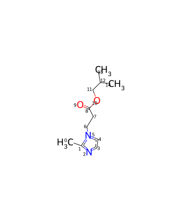 Cc1nccn1CCC(=O)OCC(C)C